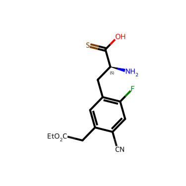 CCOC(=O)Cc1cc(C[C@H](N)C(O)=S)c(F)cc1C#N